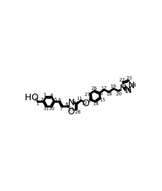 OCc1ccc(/C=C/c2nc(COc3ccc(CCCCn4ccnn4)cc3)co2)cc1